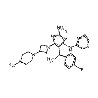 CC(c1ccc(F)cc1)c1c(Nc2cnccn2)nc(N)nc1N1CC(N2CCN(C)CC2)C1